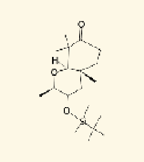 C[C@H]1O[C@H]2C(C)(C)C(=O)CC[C@]2(C)CC1O[Si](C)(C)C(C)(C)C